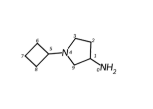 NC1CCN(C2CCC2)C1